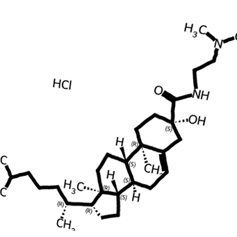 CC(C)CCC[C@@H](C)[C@H]1CC[C@H]2[C@@H]3CC=C4C[C@](O)(C(=O)NCCN(C)C)CC[C@]4(C)[C@H]3CC[C@]12C.Cl